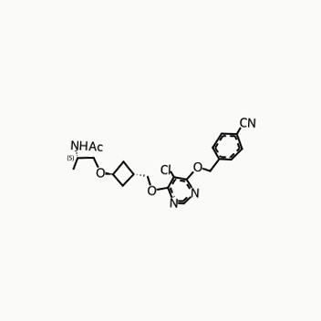 CC(=O)N[C@@H](C)CO[C@H]1C[C@H](COc2ncnc(OCc3ccc(C#N)cc3)c2Cl)C1